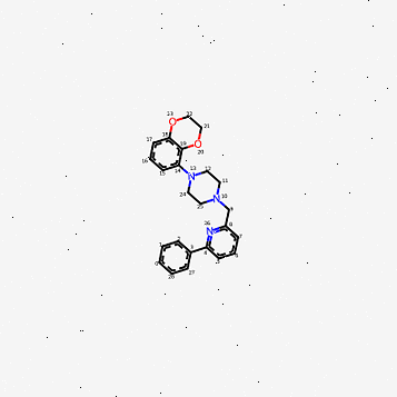 c1ccc(-c2cccc(CN3CCN(c4cccc5c4OCCO5)CC3)n2)cc1